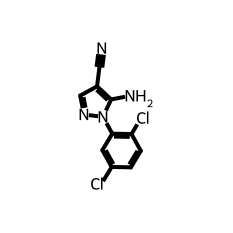 N#Cc1cnn(-c2cc(Cl)ccc2Cl)c1N